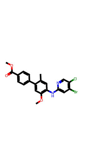 COC(=O)c1ccc(-c2cc(OC)c(Nc3cc(Br)c(Cl)cn3)cc2C)cc1